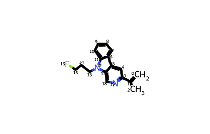 C=C(C)c1cc2c3ccccc3n(CCCF)c2cn1